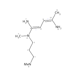 CNCCCN(C)/C(N)=C/C=C(/C)N